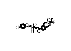 O=C(CCC(=O)c1ccc2c(c1)CCN(C(=O)C(F)(F)F)CC2)NCCOc1ccc(Cl)cc1